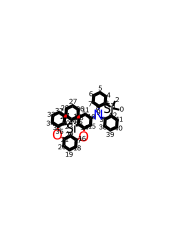 C[Si]1(C)c2ccccc2N(c2ccc3c(c2)Oc2cccc4c2[Si]3(c2ccccc2)c2ccccc2O4)c2ccccc21